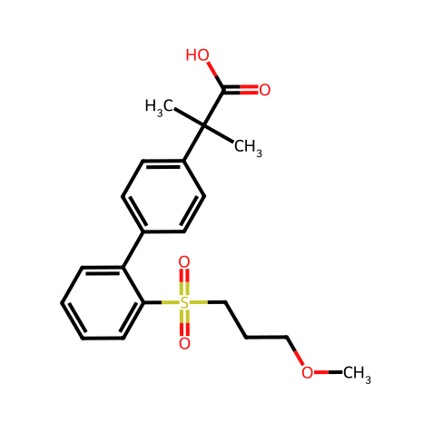 COCCCS(=O)(=O)c1ccccc1-c1ccc(C(C)(C)C(=O)O)cc1